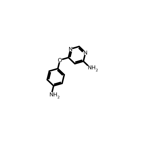 Nc1ccc(Oc2cc(N)ncn2)cc1